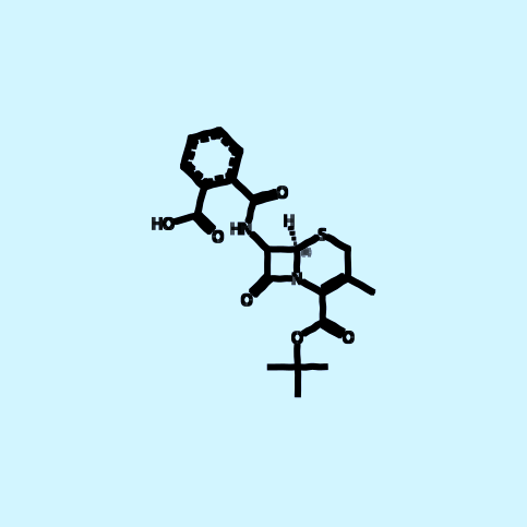 CC1=C(C(=O)OC(C)(C)C)N2C(=O)C(NC(=O)c3ccccc3C(=O)O)[C@H]2SC1